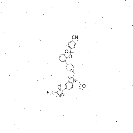 CC1(c2ccc(C#N)cc2)Oc2cccc(C3CCN(Cc4nc5cc(-c6nnc(C(F)(F)F)[nH]6)ccc5n4CC4CCO4)CC3)c2O1